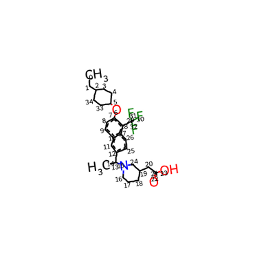 CCC1CCC(Oc2ccc3cc(C(C)N4CCCC(CC(=O)O)C4)ccc3c2C(F)(F)F)CC1